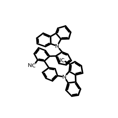 N#Cc1cccc(-c2ccccc2-n2c3ccccc3c3ccccc32)c1-c1cccc(-n2c3ccccc3c3cccc(C#N)c32)c1